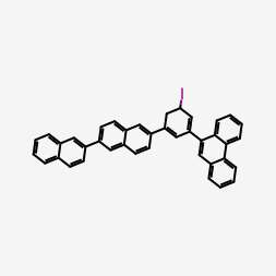 IC1C=C(c2cc3ccccc3c3ccccc23)C=C(c2ccc3cc(-c4ccc5ccccc5c4)ccc3c2)C1